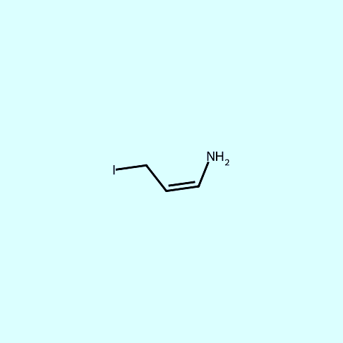 N/C=C\CI